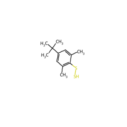 Cc1cc(C(C)(C)C)cc(C)c1SS